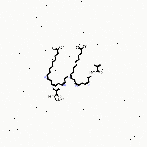 C=C(C)C(=O)O.C=C(C)C(=O)O.CC/C=C\C/C=C\C/C=C\CCCCCCCC(=O)[O-].CC/C=C\C/C=C\C/C=C\CCCCCCCC(=O)[O-].[Cu+2]